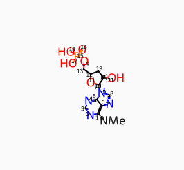 CNc1ncnc2c1ncn2[C@@H]1OC(COP(=O)(O)O)C[C@H]1O